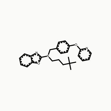 CC(C)(C)[CH]CCN(Cc1ccc(Oc2ccccn2)cc1)c1nc2ccccc2o1